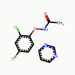 CC(=O)NOc1ccc(Cl)cc1Cl.c1cncnc1